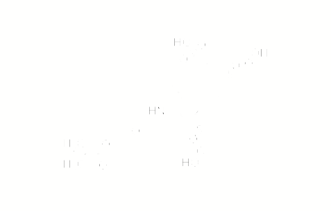 C=C(C)C(=O)OCCOCCNc1cc(SOOO)c2ccc3c(SOOO)cc(S(=O)(=O)O)c4ccc1c2c34